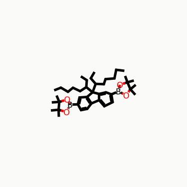 CCCCCC(CC)C1(C(CC)CCCCC)c2cc(B3OC(C)(C)C(C)(C)O3)ccc2-c2ccc(B3OC(C)(C)C(C)(C)O3)cc21